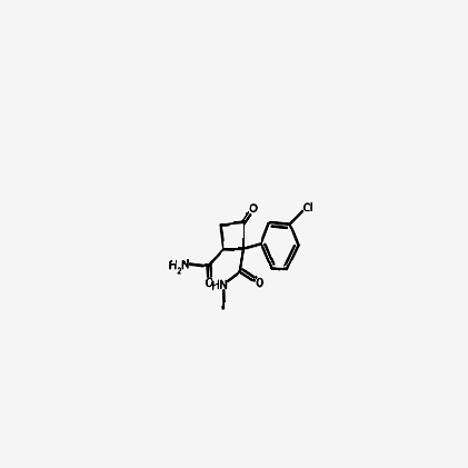 CNC(=O)C1(c2cccc(Cl)c2)C(=O)CC1C(N)=O